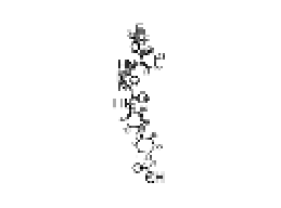 O=C(O)CC1CCC(c2ccc(NC(=O)c3nnc(Nc4ccccc4OC(F)(F)F)o3)cc2)CC1